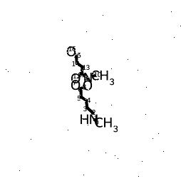 CNCCCCC(=O)ON(C)C(=O)CCC=O